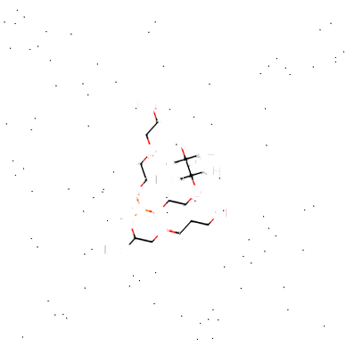 CC(COCCCO)OP(OCCOCCO)OCCOC(C)(C)C(C)(C)O